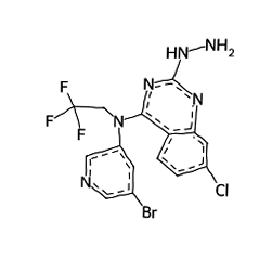 NNc1nc(N(CC(F)(F)F)c2cncc(Br)c2)c2ccc(Cl)cc2n1